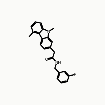 Cc1cccc2c1c1ccc(CC(=O)NCc3cccc(F)c3)cc1n2C